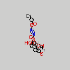 CCc1ccc(C(=O)OCCN2CCN(CC(=O)OCC(=O)[C@@]3(O)CCC4C5CCC6=CC(=O)CC[C@]6(C)C5[C@@H](O)C[C@@]43C)CC2)cc1